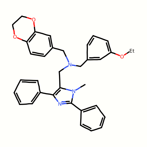 CCOc1cccc(CN(Cc2ccc3c(c2)OCCO3)Cc2c(-c3ccccc3)nc(-c3ccccc3)n2C)c1